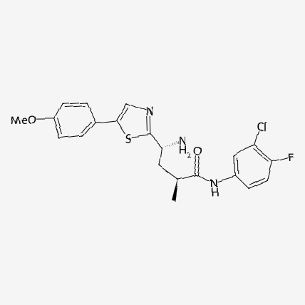 COc1ccc(-c2cnc([C@H](N)C[C@H](C)C(=O)Nc3ccc(F)c(Cl)c3)s2)cc1